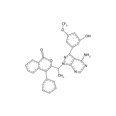 CC(c1oc(=O)c2ccccc2c1-c1ccccc1)n1nc(-c2cc(O)cc(OC(F)(F)F)c2)c2c(N)ncnc21